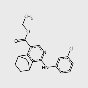 CCOC(=O)c1cnc(Nc2cccc(Cl)c2)c2c1C1CCC2CC1